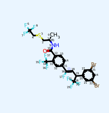 C[C@H](CSCC(F)(F)F)NC(=O)c1ccc(/C(F)=C/C(c2cc(Br)cc(Br)c2)C(F)(F)F)cc1C(F)(F)F